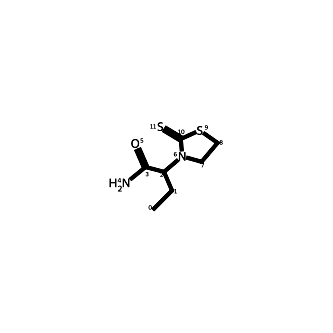 CCC(C(N)=O)N1CCSC1=S